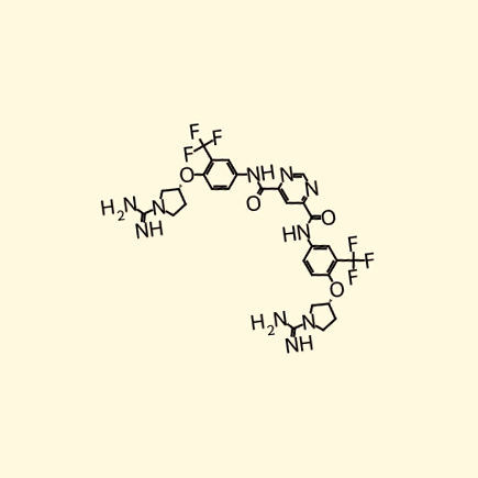 N=C(N)N1CC[C@@H](Oc2ccc(NC(=O)c3cc(C(=O)Nc4ccc(O[C@@H]5CCN(C(=N)N)C5)c(C(F)(F)F)c4)ncn3)cc2C(F)(F)F)C1